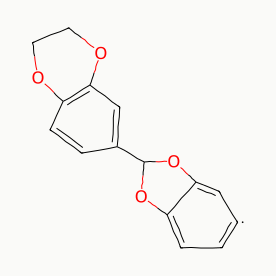 [c]1ccc2c(c1)OC(c1ccc3c(c1)OCCO3)O2